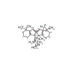 CC1(C)CCCC2=C1C=C[CH]2[Zr]([CH3])([CH3])(=[SiH2])[CH]1C=CC2=C1CCCC2(C)C.Cl.Cl